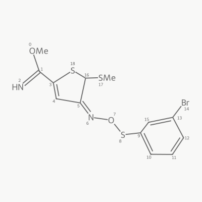 COC(=N)C1=CC(=NOSc2cccc(Br)c2)C(SC)S1